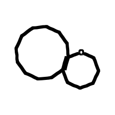 C1CCCCCC2=C(CCCC1)CCCCCO2